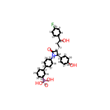 O=C1[C@H](CC[C@H](O)c2ccc(F)cc2)[C@@H](c2ccc(O)cc2)N1c1ccc(-c2cccc(P(=O)(O)O)c2)cc1